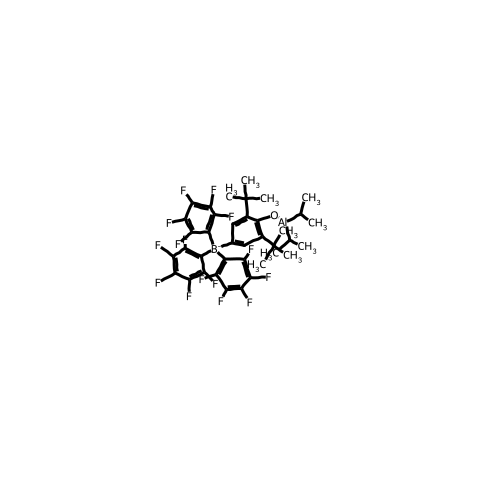 C[CH](C)[Al]([O]c1c(C(C)(C)C)cc([B-](c2c(F)c(F)c(F)c(F)c2F)(c2c(F)c(F)c(F)c(F)c2F)c2c(F)c(F)c(F)c(F)c2F)cc1C(C)(C)C)[CH](C)C